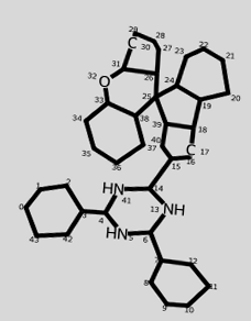 C1CCC(C2NC(C3CCCCC3)NC(C3CCC4C5CCCCC5C5(C6CCCCC6OC6CCCCC65)C4C3)N2)CC1